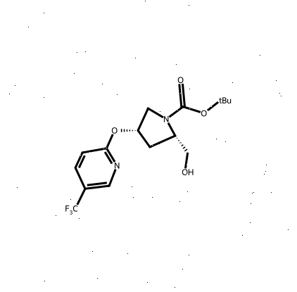 CC(C)(C)OC(=O)N1C[C@@H](Oc2ccc(C(F)(F)F)cn2)C[C@H]1CO